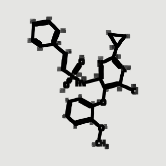 COc1ccccc1Oc1c(Cl)nc(C2CC2)nc1NS(=O)(=O)C=Cc1ccccc1